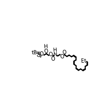 CC/C=C\C/C=C\C/C=C\C/C=C\C/C=C\CCCC(=O)OCCNC(=O)OCC(O)CO[Si](C)(C)C(C)(C)C